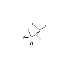 CC(=C(F)F)C(F)(F)Cl